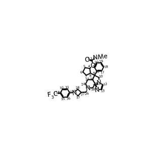 CNC(=O)OC1CCCC1C(Cn1ccnc1)(c1ccccc1)C1CCN(CC2CN(c3ccc(C(F)(F)F)cc3)C2)CC1